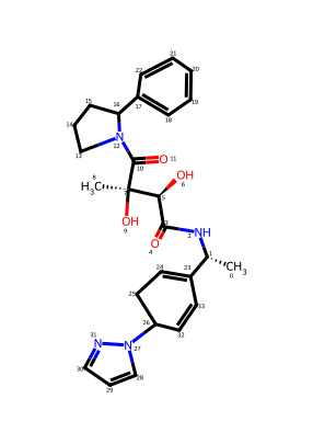 C[C@@H](NC(=O)[C@H](O)[C@@](C)(O)C(=O)N1CCCC1c1ccccc1)C1=CCC(n2cccn2)C=C1